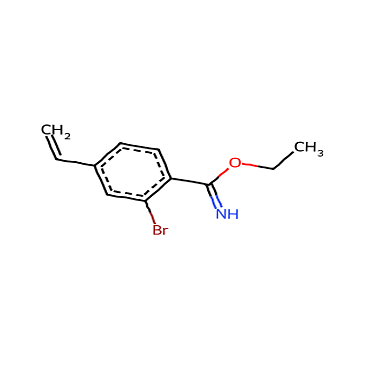 C=Cc1ccc(C(=N)OCC)c(Br)c1